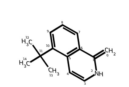 C=C1NC=Cc2c1cccc2C(C)(C)C